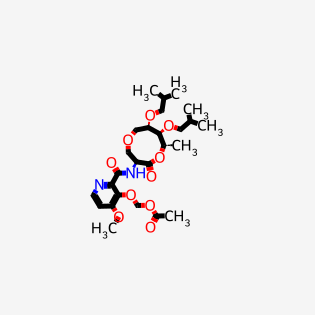 COc1ccnc(C(=O)N[C@H]2COC[C@H](OCC(C)C)[C@@H](OCC(C)C)[C@H](C)OC2=O)c1OCOC(C)=O